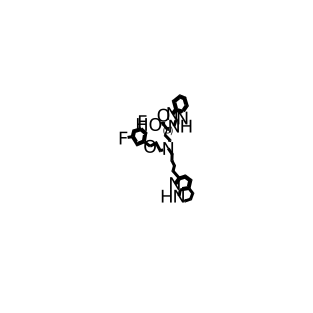 Cn1c(N[C@@H](CCN(CCCCc2ccc3c(n2)NCCC3)CCOc2cc(F)cc(F)c2)C(=O)O)nc2ccccc21